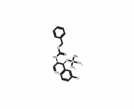 C=C[C@@H](NC(=O)OCc1ccccc1)[C@@H](O[Si](C)(C)C(C)(C)C)c1cccc(Cl)c1